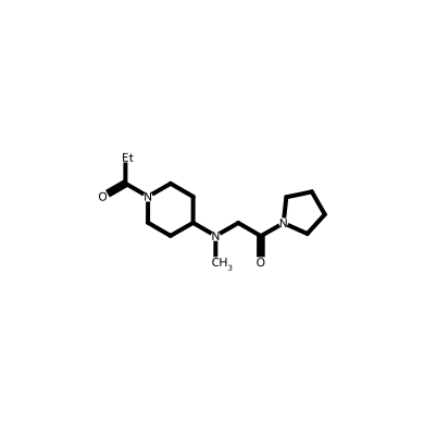 CCC(=O)N1CCC(N(C)CC(=O)N2CCCC2)CC1